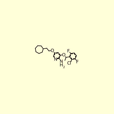 CC(Oc1cc(OCCC2CCCCCC2)cnc1N)c1c(F)ccc(F)c1Cl